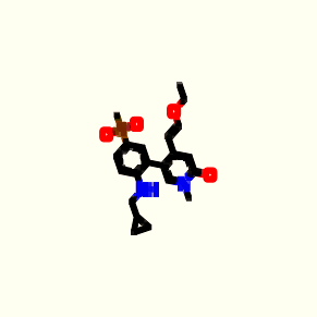 CCOC=Cc1cc(=O)n(C)cc1-c1cc(S(C)(=O)=O)ccc1NCC1CC1